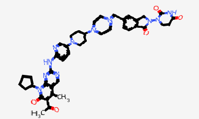 CC(=O)c1c(C)c2cnc(Nc3ccc(N4CCC(N5CCN(Cc6ccc7c(c6)CN(N6CCC(=O)NC6=O)C7=O)CC5)CC4)cn3)nc2n(C2CCCC2)c1=O